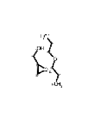 CCCOCCC.OCC1CO1